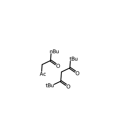 CC(C)(C)C(=O)CC(=O)C(C)(C)C.CCCCC(=O)CC(C)=O